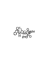 COC(=O)[C@H](Cc1ccc(Nc2nc(C)cc3ccccc23)cc1)Nc1c(OC(C)C)c(=O)c1=O